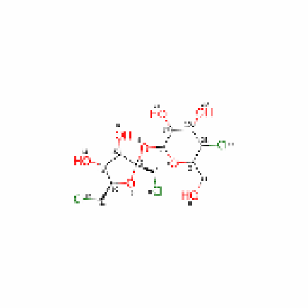 OCC1OC(O[C@]2(CCl)O[C@@H](CCl)C(O)C2O)C(O)C(O)C1Cl